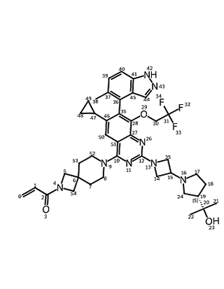 C=CC(=O)N1CC2(CCN(c3nc(N4CC(N5CC[C@H](C(C)(C)O)C5)C4)nc4c(OCC(F)(F)F)c(-c5c(C)ccc6[nH]ncc56)c(C5CC5)cc34)CC2)C1